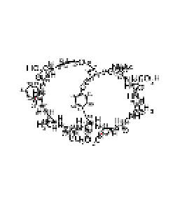 CC(=O)N[C@H]1CSC2=C3C=C2COc2ccc(cc2)[C@@H](C(=O)O)NC(=O)CNC(=O)[C@H](Cc2ccccc2)NC(=O)[C@H](C)NC(=O)[C@H](CC(=O)O)NC(=O)[C@H](Cc2ccc(cc2)OC3)NC(=O)[C@H](CCC(=O)O)NC(=O)CNC(=O)[C@H](C)NC(=O)[C@H](CC(=O)O)NC1=O